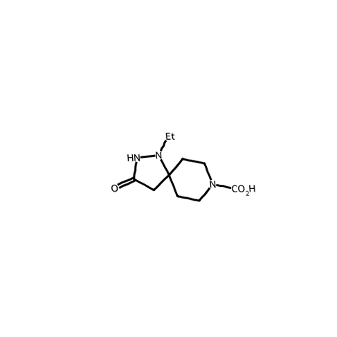 CCN1NC(=O)CC12CCN(C(=O)O)CC2